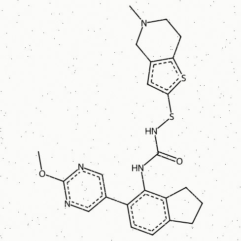 COc1ncc(-c2ccc3c(c2NC(=O)NSc2cc4c(s2)CCN(C)C4)CCC3)cn1